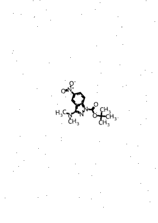 CN(C)c1nn(C(=O)OC(C)(C)C)c2ccc([N+](=O)[O-])cc12